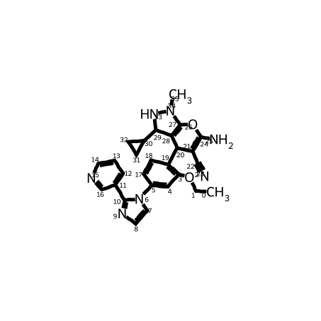 CCOc1cc(-n2ccnc2-c2cccnc2)ccc1C1C(C#N)=C(N)OC2=C1C(C1CC1)NN2C